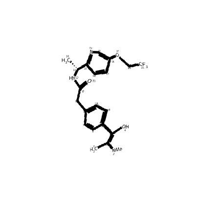 CN/C(C)=C(\O)c1ccc(CC(=O)N[C@H](C)c2ccc(OCC(F)(F)F)cn2)cc1